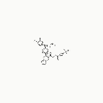 Cc1cc(NC(=O)[C@H](CCN)NC(=O)[C@@H]2Cc3ccccc3CN2C(=O)CCC(=O)N2CC(C(C)(C)O)C2)ccc1Cl